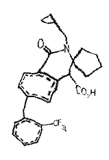 O=C(O)C1c2cc(-c3ccccc3C(F)(F)F)ccc2C(=O)N(CC2CC2)C12CCCC2